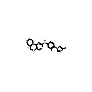 Cc1cn(-c2ccc(Nc3ncc4c(n3)N3CCOC[C@@H]3CO4)cc2F)cn1